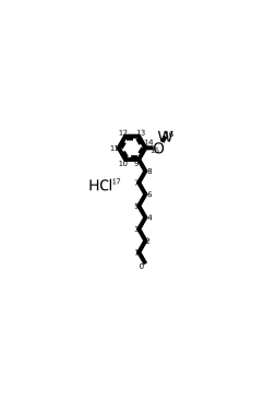 CCCCCCCCCc1ccccc1[O][W].Cl